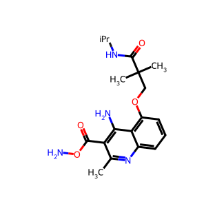 Cc1nc2cccc(OCC(C)(C)C(=O)NC(C)C)c2c(N)c1C(=O)ON